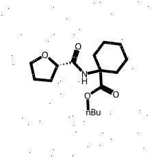 CCCCOC(=O)C1(NC(=O)[C@@H]2CCCO2)CCCCC1